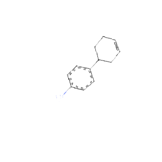 Nc1ccc([C]2CC=CCC2)cc1